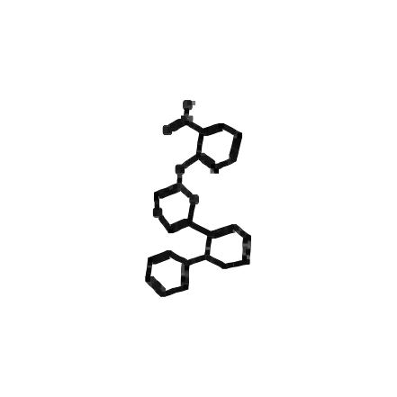 O=[N+]([O-])c1cccnc1OC1=COC=C(C2=CC=CCC2c2ccccc2)O1